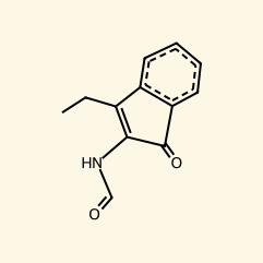 CCC1=C(NC=O)C(=O)c2ccccc21